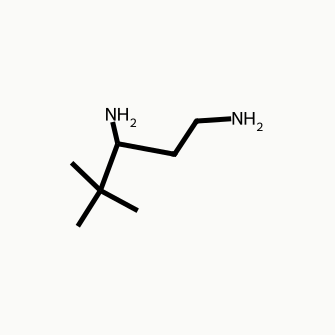 CC(C)(C)C(N)CCN